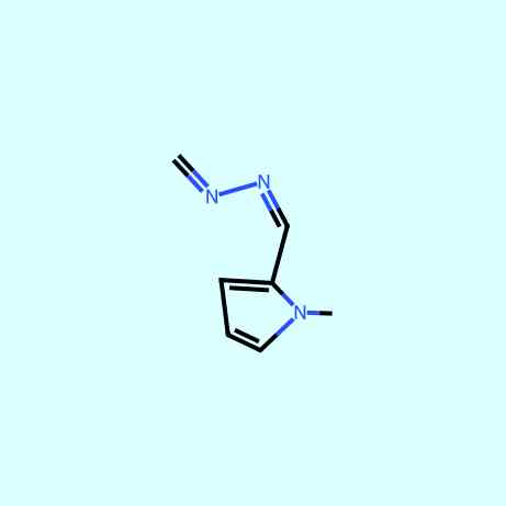 C=N/N=C\c1cccn1C